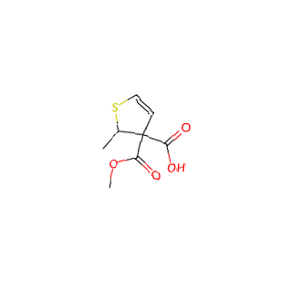 COC(=O)C1(C(=O)O)C=CSC1C